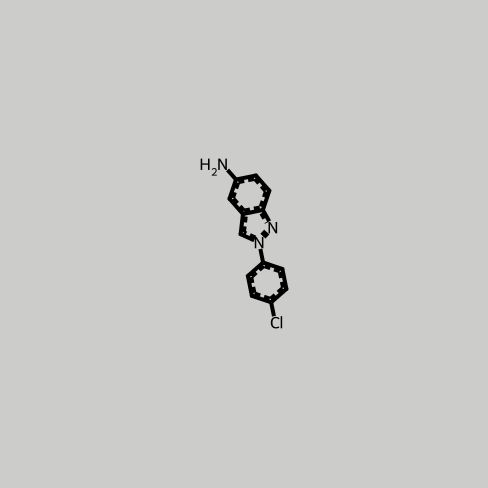 Nc1ccc2nn(-c3ccc(Cl)cc3)cc2c1